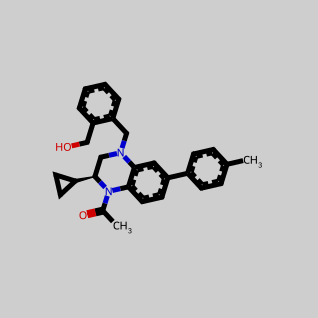 CC(=O)N1c2ccc(-c3ccc(C)cc3)cc2N(Cc2ccccc2CO)C[C@@H]1C1CC1